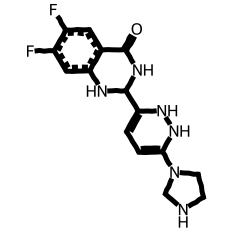 O=C1NC(C2=CC=C(N3CCNC3)NN2)Nc2cc(F)c(F)cc21